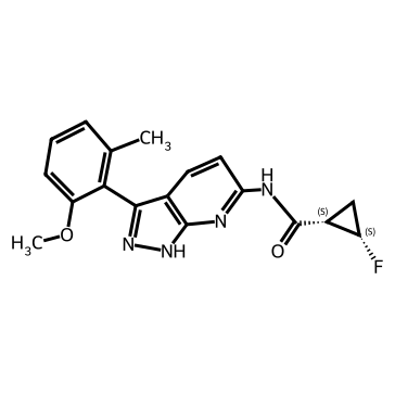 COc1cccc(C)c1-c1n[nH]c2nc(NC(=O)[C@@H]3C[C@@H]3F)ccc12